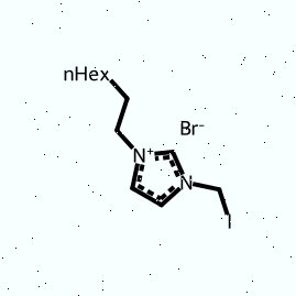 CCCCCCCC[n+]1ccn(CI)c1.[Br-]